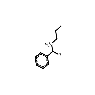 CC[CH2][SnH2][CH](Cl)c1ccccc1